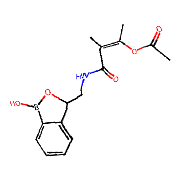 CC(=O)O/C(C)=C(/C)C(=O)NCC1OB(O)c2ccccc21